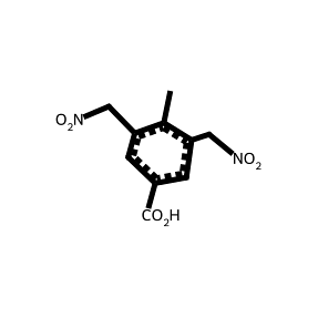 Cc1c(C[N+](=O)[O-])cc(C(=O)O)cc1C[N+](=O)[O-]